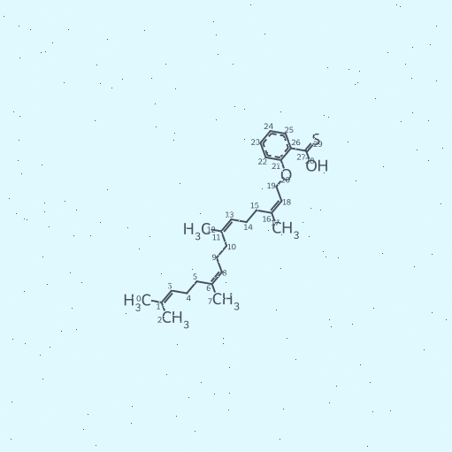 CC(C)=CCCC(C)=CCCC(C)=CCCC(C)=CCOc1ccccc1C(O)=S